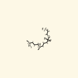 C[SiH2]CCC[SiH](C)CCCC(F)(F)OCCC(F)(F)F